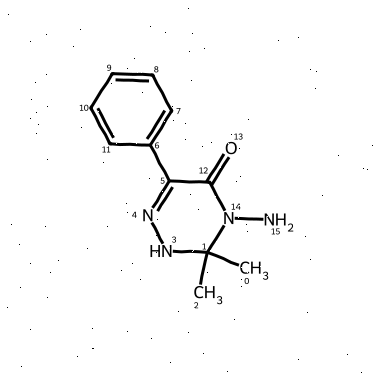 CC1(C)NN=C(c2ccccc2)C(=O)N1N